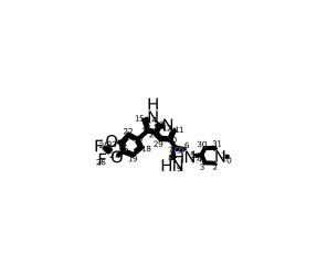 CN1CCC(N/C=C(\C=N)c2cnc3[nH]cc(-c4ccc5c(c4)OC(F)(F)O5)c3c2)CC1